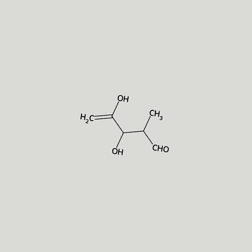 C=C(O)C(O)C(C)C=O